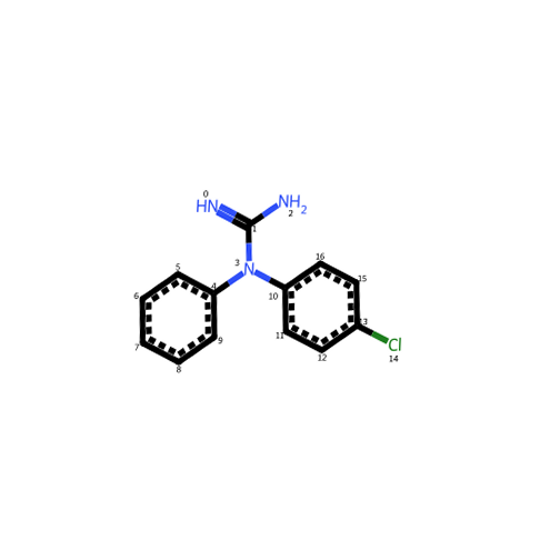 N=C(N)N(c1ccccc1)c1ccc(Cl)cc1